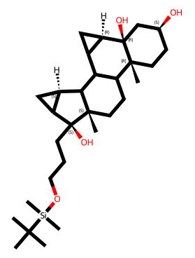 CC(C)(C)[Si](C)(C)OCCC[C@]1(O)C2C[C@H]2C2C3C4C[C@H]4[C@]4(O)C[C@@H](O)CC[C@]4(C)C3CC[C@@]21C